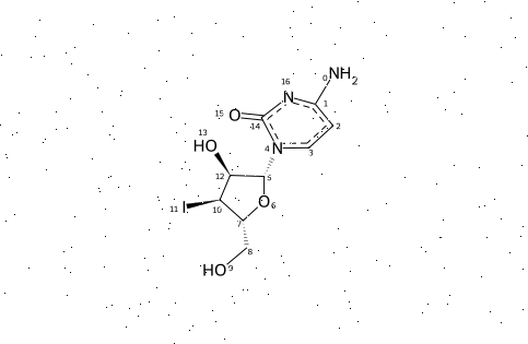 Nc1ccn([C@@H]2O[C@H](CO)[C@@H](I)[C@H]2O)c(=O)n1